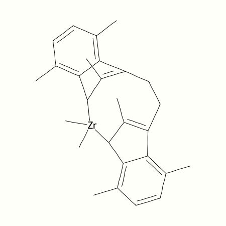 CC1=C2CCC3=C(C)[CH](c4c(C)ccc(C)c43)[Zr]([CH3])([CH3])[CH]1c1c(C)ccc(C)c12